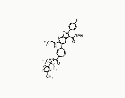 CNC(=O)c1c(-c2ccc(F)cc2)oc2nc(NCC(F)(F)F)c(C3C=CC=C(C(=O)NC(C)(C)c4nc(C)no4)C=C3)cc12